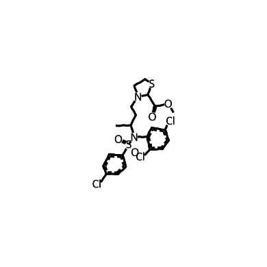 COC(=O)C1SCCN1CCC(C)N(c1cc(Cl)ccc1Cl)S(=O)(=O)c1ccc(Cl)cc1